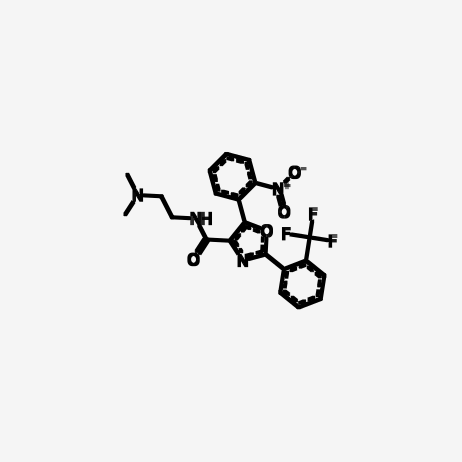 CN(C)CCNC(=O)c1nc(-c2ccccc2C(F)(F)F)oc1-c1ccccc1[N+](=O)[O-]